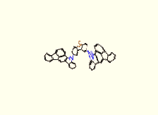 c1ccc2c(c1)-c1cccc3c1c-2cc1c2ccccc2n(-c2ccc4sc5ccc(-n6c7ccccc7c7cc8c9c(cccc9c76)-c6ccccc6-8)cc5c4c2)c31